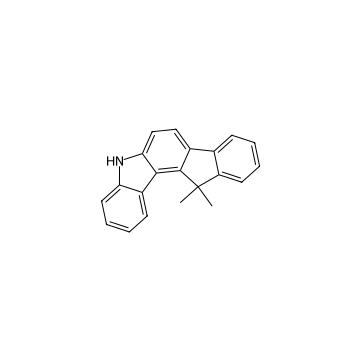 CC1(C)c2ccccc2-c2ccc3[nH]c4ccccc4c3c21